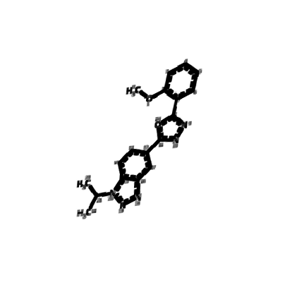 COc1ccccc1-c1nnc(-c2ccc3c(c2)nnn3C(C)C)o1